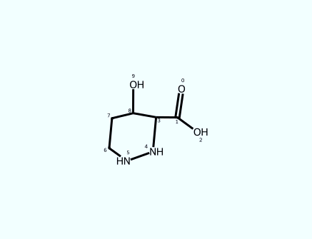 O=C(O)C1NNCCC1O